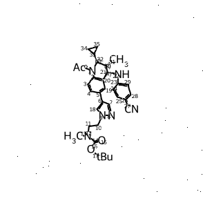 CC(=O)N1c2ccc(-c3cnn(CCN(C)C(=O)OC(C)(C)C)c3)cc2[C@H](Nc2ccc(C#N)cc2)[C@@H](C)[C@@H]1C1CC1